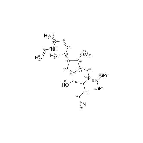 C=CNC(=C)/C=C\N(C)C1CC(CO)C(CP(CCCC#N)N(C(C)C)C(C)C)C1OC